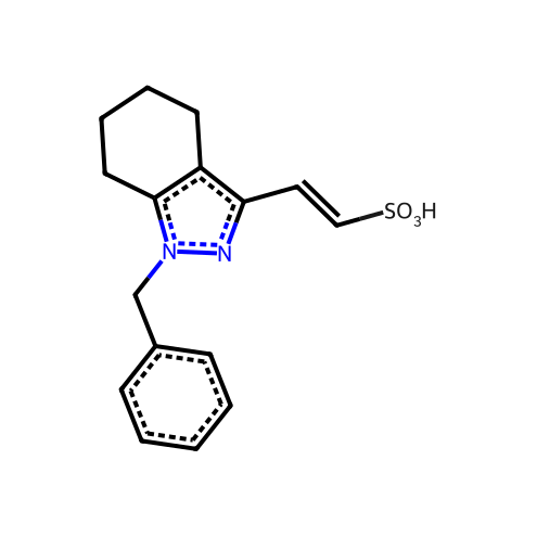 O=S(=O)(O)C=Cc1nn(Cc2ccccc2)c2c1CCCC2